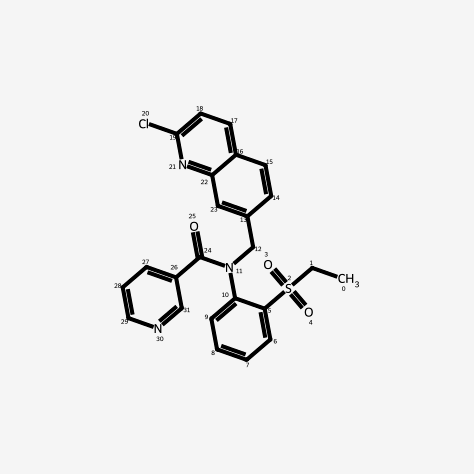 CCS(=O)(=O)c1ccccc1N(Cc1ccc2ccc(Cl)nc2c1)C(=O)c1cccnc1